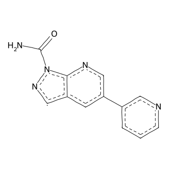 NC(=O)n1n[c]c2cc(-c3cccnc3)cnc21